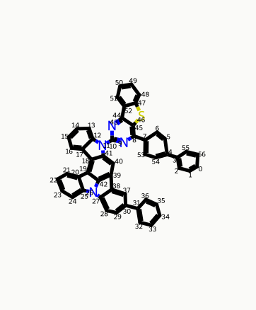 c1ccc(-c2ccc(-c3nc(-n4c5ccccc5c5c6c7ccccc7n7c8ccc(-c9ccccc9)cc8c(cc54)c67)nc4c3sc3ccccc34)cc2)cc1